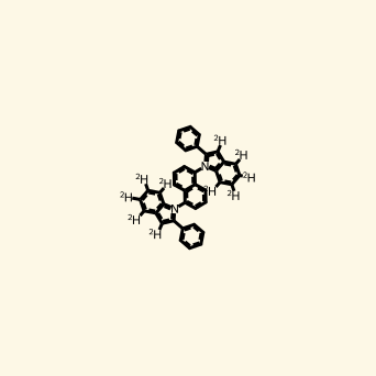 [2H]c1c([2H])c([2H])c2c(c1[2H])c([2H])c(-c1ccccc1)n2-c1cccc2c(-n3c(-c4ccccc4)c([2H])c4c([2H])c([2H])c([2H])c([2H])c43)cccc12